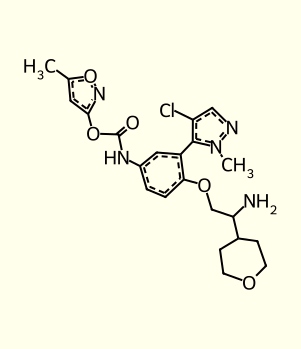 Cc1cc(OC(=O)Nc2ccc(OCC(N)C3CCOCC3)c(-c3c(Cl)cnn3C)c2)no1